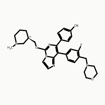 CN1CCC[C@@H](COc2nc(-c3ccc(C#N)cc3)c(-c3ccc(CN4CCOCC4)c(F)c3)c3nccn23)C1